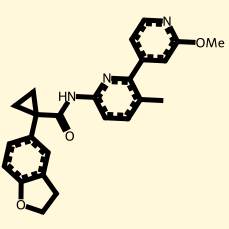 COc1cc(-c2nc(NC(=O)C3(c4ccc5c(c4)CCO5)CC3)ccc2C)ccn1